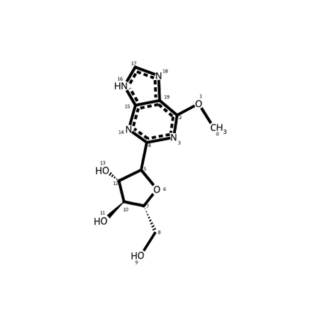 COc1nc(C2O[C@H](CO)[C@@H](O)[C@@H]2O)nc2[nH]cnc12